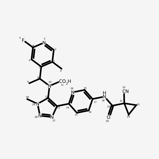 Cc1cnc(F)cc1C(C)N(C(=O)O)c1c(-c2ccc(NC(=O)C3(C#N)CC3)cn2)nnn1C